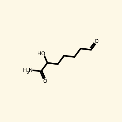 NC(=O)C(O)CCCCC=O